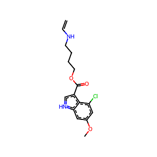 C=CNCCCCOC(=O)c1c[nH]c2cc(OC)cc(Cl)c12